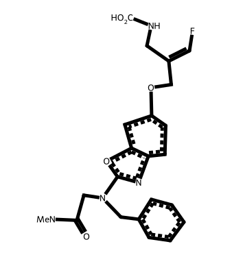 CNC(=O)CN(Cc1ccccc1)c1nc2ccc(OCC(=CF)CNC(=O)O)cc2o1